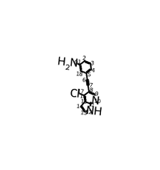 Nc1cccc(C#Cc2cnc3[nH]ccc3c2Cl)c1